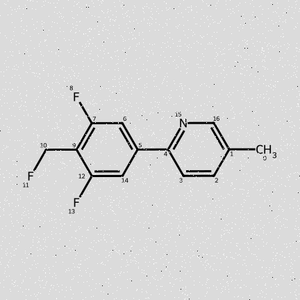 Cc1ccc(-c2cc(F)c(CF)c(F)c2)nc1